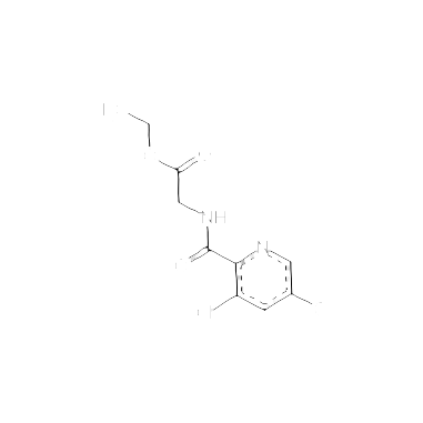 CCOC(=O)CNC(=O)c1ncc(Cl)cc1Cl